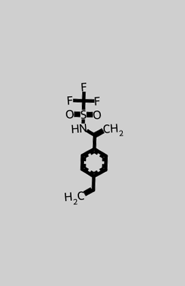 C=Cc1ccc(C(=C)NS(=O)(=O)C(F)(F)F)cc1